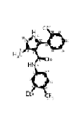 CCc1cc(NC(=O)c2c(C)n[nH]c2-c2ccccc2Cl)ccc1C(F)(F)F